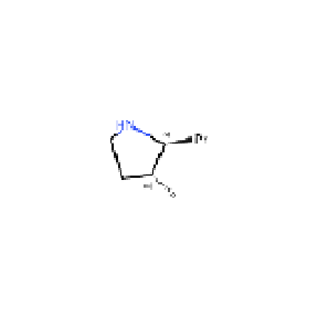 CC(C)[C@@H]1NCC[C@H]1C